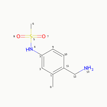 Cc1cc(NS(C)(=O)=O)ccc1CN